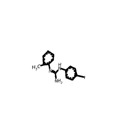 Cc1ccccc1N=C(N)Nc1ccc(I)cc1